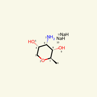 C[C@H]1O[CH][C@H](O)[C@H](N)[C@@H]1O.[NaH].[NaH]